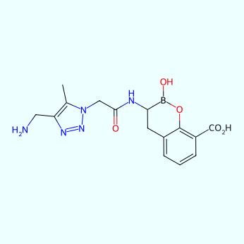 Cc1c(CN)nnn1CC(=O)NC1Cc2cccc(C(=O)O)c2OB1O